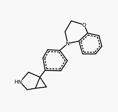 c1ccc2c(c1)OCCN2c1ccc(C23CNCC2C3)cc1